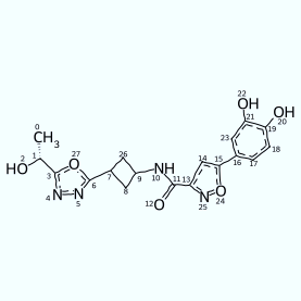 C[C@@H](O)c1nnc(C2CC(NC(=O)c3cc(-c4ccc(O)c(O)c4)on3)C2)o1